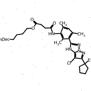 CCCCCCCCCCCCCCOC(=O)CCC(=O)Nc1c(C)cc(C)c(-c2nn3nc(C4(CC)CCCC4)c(Cl)c3[nH]2)c1C